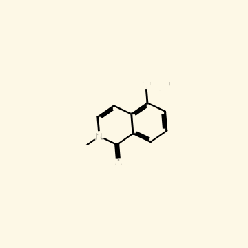 CCOC(=O)c1cccc2c(=O)n(CC)ccc12